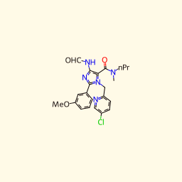 CCCN(C)C(=O)c1c(NC=O)nc(-c2cccc(OC)c2)n1Cc1ccc(Cl)cn1